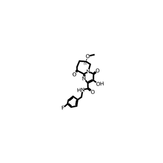 CO[C@H]1CCC(=O)c2nc(C(=O)NCc3ccc(F)cc3)c(O)c(=O)n2C1